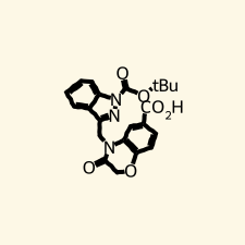 CC(C)(C)OC(=O)n1nc(CN2C(=O)COc3ccc(C(=O)O)cc32)c2ccccc21